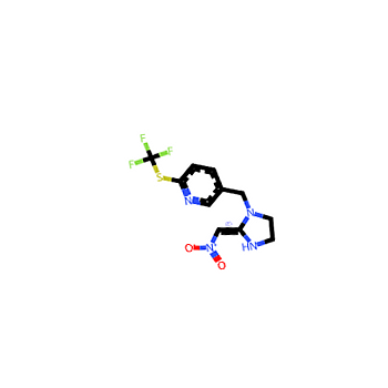 O=[N+]([O-])/C=C1\NCCN1Cc1ccc(SC(F)(F)F)nc1